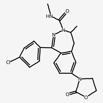 CNC(=O)N1N=C(c2ccc(Cl)cc2)c2ccc(N3CCOC3=O)cc2CC1C